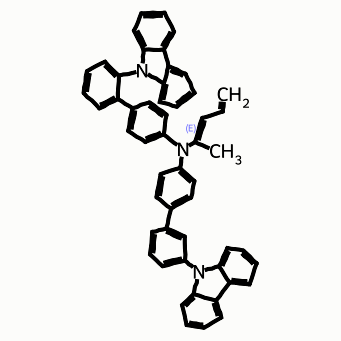 C=C/C=C(\C)N(c1ccc(-c2cccc(-n3c4ccccc4c4ccccc43)c2)cc1)c1ccc(-c2ccccc2-n2c3ccccc3c3ccccc32)cc1